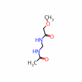 COCC(=O)NCNC(C)=O